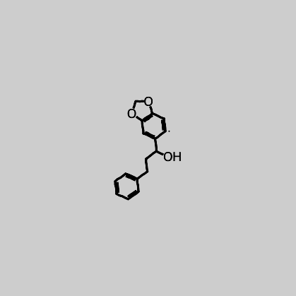 OC(CCc1ccccc1)c1[c]cc2c(c1)OCO2